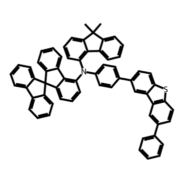 CC1(C)c2ccccc2-c2c(N(c3ccc(-c4ccc5sc6ccc(-c7ccccc7)cc6c5c4)cc3)c3cccc4c3-c3ccccc3C43c4ccccc4-c4ccccc43)cccc21